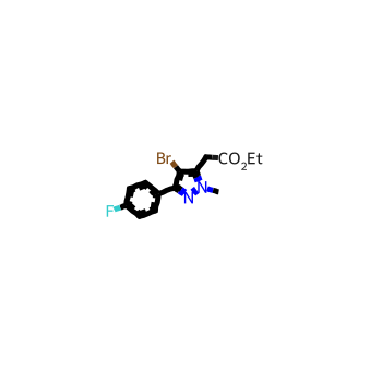 CCOC(=O)Cc1c(Br)c(-c2ccc(F)cc2)nn1C